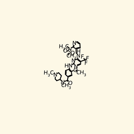 COc1cc(C(=O)N(C)C2CCN(C)CC2)ccc1Nc1ncc(C(F)(F)F)c(NCc2cccnc2N(C)S(C)(=O)=O)n1